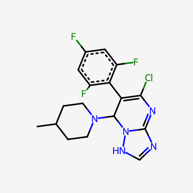 CC1CCN(C2C(c3c(F)cc(F)cc3F)=C(Cl)N=C3N=CNN32)CC1